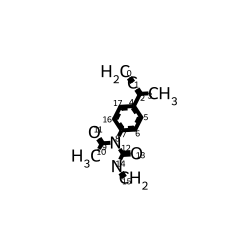 C=C=C(C)c1ccc(N(C(C)=O)C(=O)N=C)cc1